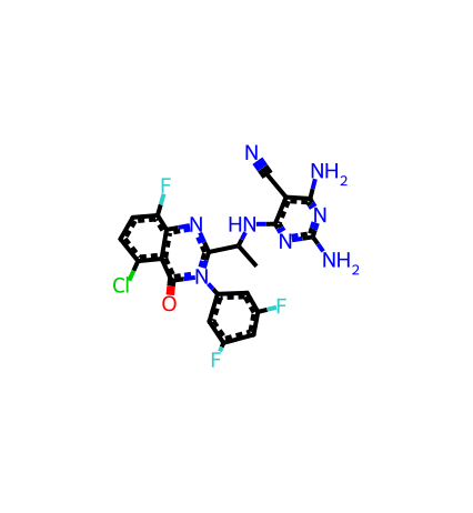 CC(Nc1nc(N)nc(N)c1C#N)c1nc2c(F)ccc(Cl)c2c(=O)n1-c1cc(F)cc(F)c1